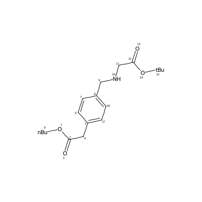 CCCCOC(=O)Cc1ccc(CNCC(=O)OC(C)(C)C)cc1